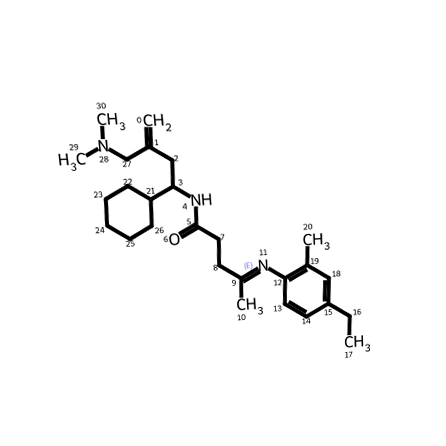 C=C(CC(NC(=O)CC/C(C)=N/c1ccc(CC)cc1C)C1CCCCC1)CN(C)C